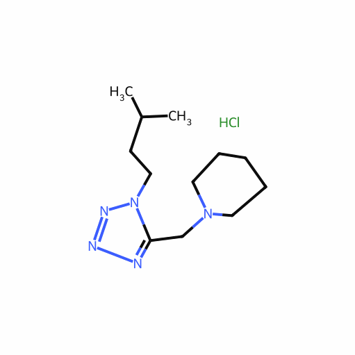 CC(C)CCn1nnnc1CN1CCCCC1.Cl